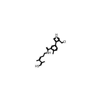 C=C(NCC/C=C(C)\C(C)=C/S)c1cc(-c2c[nH]cc2CCl)ccc1C